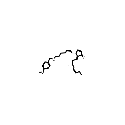 CC/C=C\C[C@H](C)C/C=C1/C(=O)C=C[C@@H]1C/C=C\CCCCOCc1ccc(OC)cc1